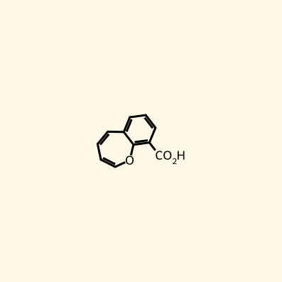 O=C(O)c1cccc2c1OC=CC=C2